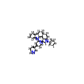 c1ccc(-n2ccc3c4c(ccc5c6ccccc6n(-c6cc(-c7cccnc7)ccn6)c54)ccc32)cc1